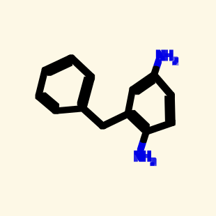 Nc1ccc(N)c(Cc2ccccc2)c1